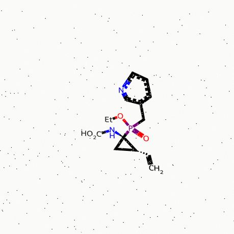 C=C[C@@H]1C[C@]1(NC(=O)O)P(=O)(Cc1cccnc1)OCC